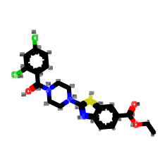 CCOC(=O)c1ccc2nc(N3CCN(C(=O)c4ccc(Cl)cc4Cl)CC3)sc2c1